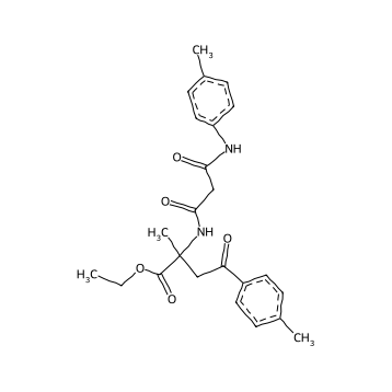 CCOC(=O)C(C)(CC(=O)c1ccc(C)cc1)NC(=O)CC(=O)Nc1ccc(C)cc1